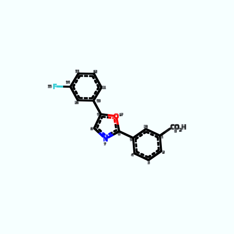 O=C(O)c1cccc(-c2ncc(-c3cccc(F)c3)o2)c1